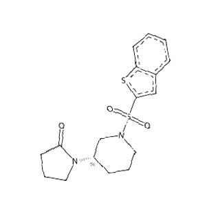 O=C1CCCN1[C@H]1CCCN(S(=O)(=O)c2cc3ccccc3s2)C1